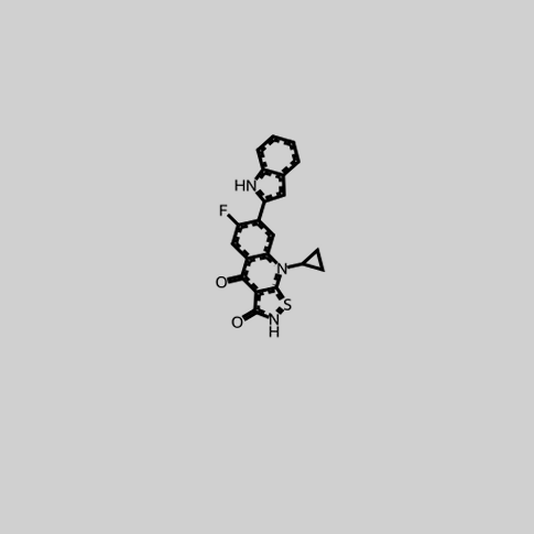 O=c1[nH]sc2c1c(=O)c1cc(F)c(-c3cc4ccccc4[nH]3)cc1n2C1CC1